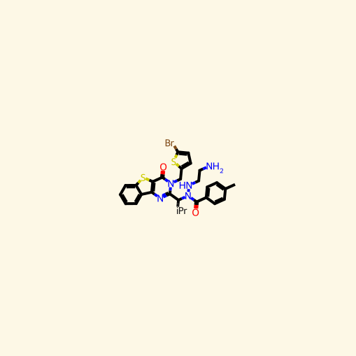 Cc1ccc(C(=O)N(NCCN)C(c2nc3c(sc4ccccc43)c(=O)n2Cc2ccc(Br)s2)C(C)C)cc1